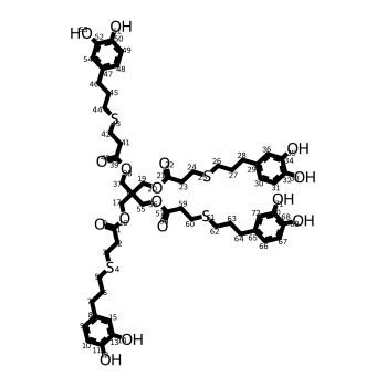 O=C(CCSCCCc1ccc(O)c(O)c1)OCC(COC(=O)CCSCCCc1ccc(O)c(O)c1)(COC(=O)CCSCCCc1ccc(O)c(O)c1)COC(=O)CCSCCCc1ccc(O)c(O)c1